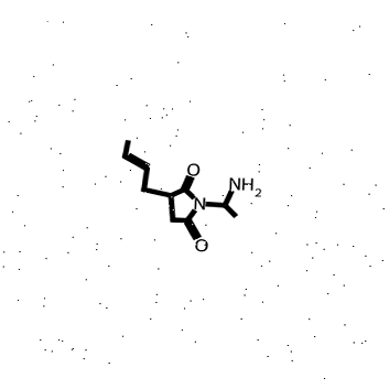 CC=CCC1CC(=O)N(C(C)N)C1=O